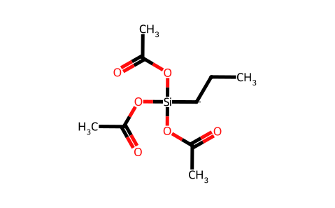 CC[CH][Si](OC(C)=O)(OC(C)=O)OC(C)=O